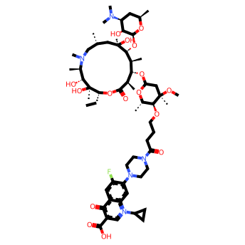 CC[C@H]1OC(=O)[C@H](C)[C@@H](OC2C[C@@](C)(OC)[C@@H](OCCCC(=O)N3CCN(c4cc5c(cc4F)c(=O)c(C(=O)O)cn5C4CC4)CC3)[C@H](C)O2)[C@H](C)[C@@H](O[C@@H]2O[C@H](C)C[C@H](N(C)C)[C@H]2O)[C@](C)(O)C[C@@H](C)CN(C)[C@H](C)[C@@H](O)[C@]1(C)O